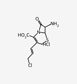 Cl.NC1C(=O)N2C(C(=O)O)=C(C=CCCl)CSC12